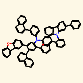 c1ccc(-c2ccc3c4ccccc4n(-c4ccccc4-c4ccc(N(c5cccc(-c6cccc7ccccc67)c5)c5cc(-c6ccc7oc8ccccc8c7c6)c(-c6cccc7ccccc67)cc5-c5ccccc5)cc4)c3c2)cc1